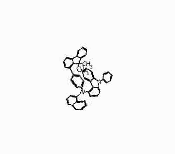 CC1(C)c2ccccc2-c2cccc(-c3ccc(N(c4cccc5ccccc45)c4cccc5c4c4ccccc4n5-c4ccccc4)cc3)c21